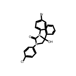 O=C1N(c2ccc(Cl)cc2)CC(O)(c2ccccc2)N1c1ccc(Br)cc1